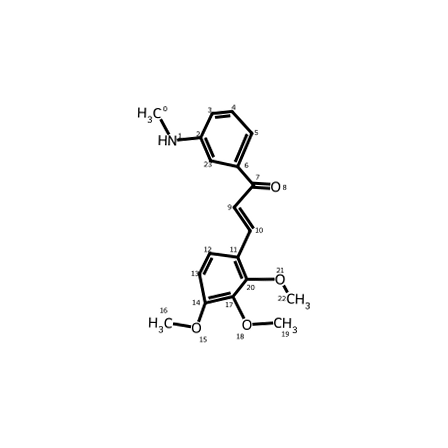 CNc1cccc(C(=O)C=Cc2ccc(OC)c(OC)c2OC)c1